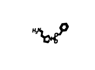 NCCC1CCN(C(=O)OCc2ccccc2)C1